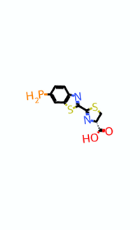 O=C(O)[C@H]1CSC(c2nc3ccc(P)cc3s2)=N1